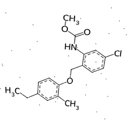 CCc1ccc(OCc2ccc(Cl)cc2NC(=O)OC)c(C)c1